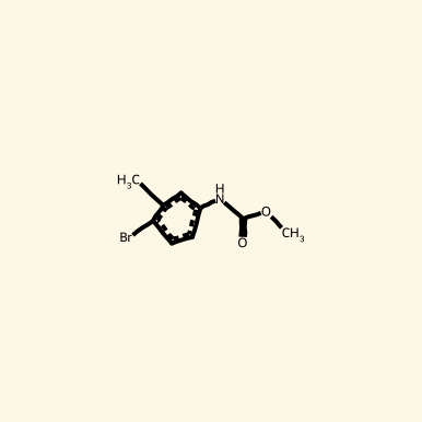 COC(=O)Nc1ccc(Br)c(C)c1